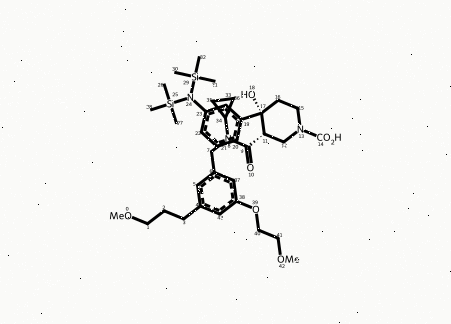 COCCCc1cc(CN(C(=O)[C@H]2CN(C(=O)O)CC[C@]2(O)c2cccc(N([Si](C)(C)C)[Si](C)(C)C)c2)C2CC2)cc(OCCOC)c1